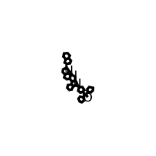 O=P(c1ccccc1)(c1ccccc1)c1ccc(-c2nc3cnc4c(ccc5ccc(-c6ccc7ccccc7c6)nc54)c3c3ccccc23)cc1